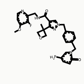 COc1ccnc(CNC(=O)c2cn(Cc3ccc(Cn4cc(P)ccc4=O)cc3)nc2C2(C)COC2)c1F